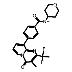 Cc1c(C(C)(F)F)nc2c(-c3ccc(C(=O)NC4CCOCC4)cc3)cccn2c1=O